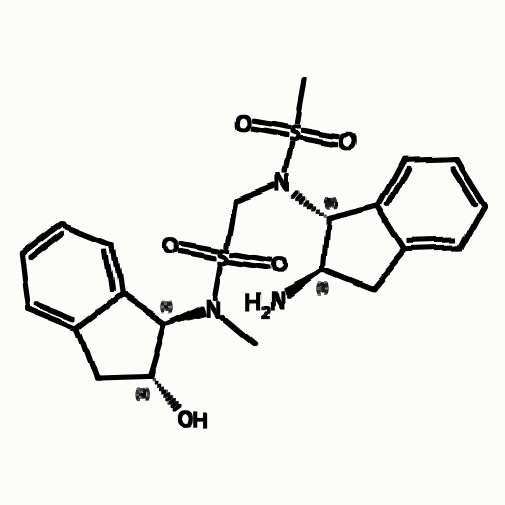 CN([C@@H]1c2ccccc2C[C@H]1O)S(=O)(=O)CN([C@@H]1c2ccccc2C[C@H]1N)S(C)(=O)=O